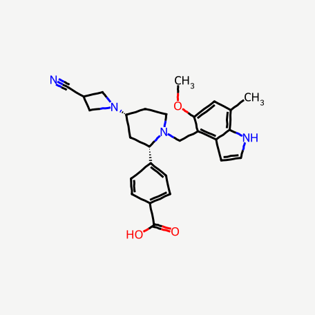 COc1cc(C)c2[nH]ccc2c1CN1CC[C@@H](N2CC(C#N)C2)C[C@H]1c1ccc(C(=O)O)cc1